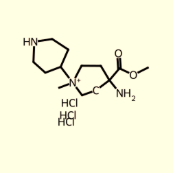 COC(=O)C1(N)CC[N+](C)(C2CCNCC2)CC1.Cl.Cl.Cl